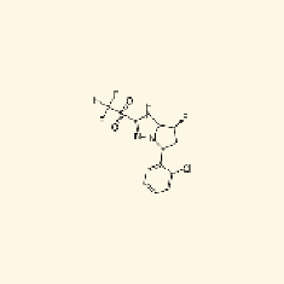 O=S(=O)(C1=NN2C(N1)[C@@H](F)C[C@H]2c1ccccc1Cl)C(F)(F)F